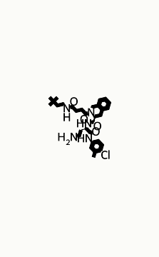 Cc1cc(NC(=O)[C@H](CCN)NC(=O)[C@@H]2Cc3ccccc3CN2C(=O)CCC(=O)NCCC(C)(C)C)ccc1Cl